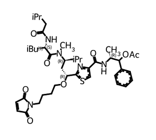 CC[C@H](C)[C@H](NC(=O)CC(C)C)C(=O)N(C)[C@H](C[C@@H](OCCCCN1C(=O)C=CC1=O)c1nc(C(=O)N[C@H](C)C(OC(C)=O)c2ccccc2)cs1)C(C)C